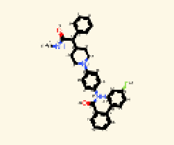 CCCNC(=O)C(c1ccccc1)C1CCN(c2ccc(NC(=O)c3ccccc3-c3ccc(F)cc3)cc2)CC1